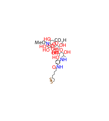 COC=NC1C(O)CC(OC2C(O)C(CO)OC(OC(C(O)CO)C(O)C(C)CNc3cccc(NC(=O)CCCCC4CCSS4)c3)[C@H]2O)(C(=O)O)OC1C(O)C(O)CO